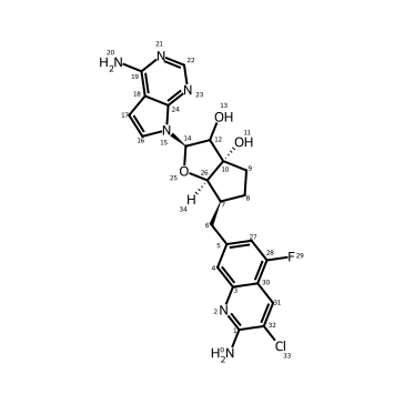 Nc1nc2cc(C[C@@H]3CC[C@]4(O)C(O)[C@H](n5ccc6c(N)ncnc65)O[C@H]34)cc(F)c2cc1Cl